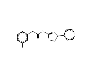 O=C(Cc1cccc(F)c1)NC1=NC(c2ccncc2)CS1